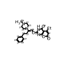 CCc1cc(=O)oc2nc(O/N=C(\CCc3ccccc3)N3CCN(C)CC3)[nH]c(=O)c12